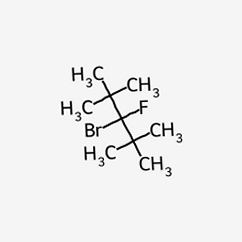 CC(C)(C)C(F)(Br)C(C)(C)C